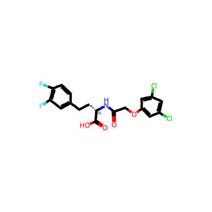 O=C(COc1cc(Cl)cc(Cl)c1)N[C@@H](CCc1ccc(F)c(F)c1)C(=O)O